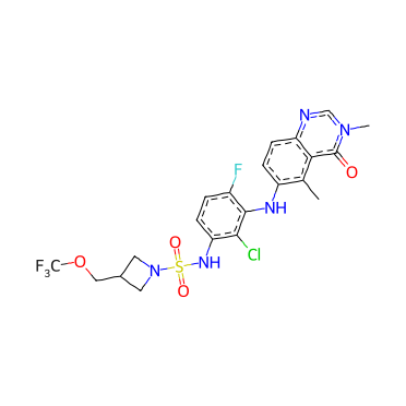 Cc1c(Nc2c(F)ccc(NS(=O)(=O)N3CC(COC(F)(F)F)C3)c2Cl)ccc2ncn(C)c(=O)c12